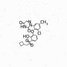 Cc1cc(Cl)c(Oc2cccc(S(=O)(=O)CC3CCC3)c2O)c(-n2ncc(=O)[nH]c2=O)c1